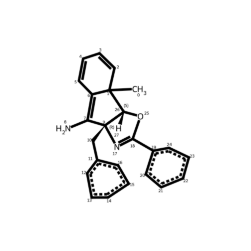 CC12C=CC=CC1=C(N)[C@@]1(Cc3ccccc3)N=C(c3ccccc3)O[C@@H]21